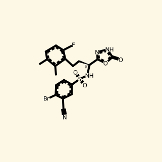 Cc1ccc(F)c(CC[C@H](NS(=O)(=O)c2ccc(Br)c(C#N)c2)c2n[nH]c(=O)o2)c1C